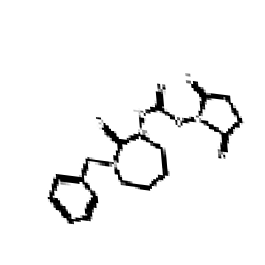 O=C(N[C@H]1CCCCN(Cc2ccccc2)C1=O)ON1C(=O)CCC1=O